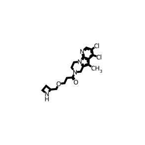 Cc1c2n(c3ncc(Cl)c(Cl)c13)CCN(C(=O)CCOCC1CCN1)C2